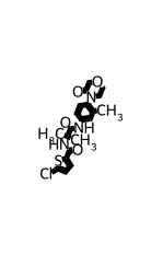 Cc1cc(NC(=O)C(C)(C)NC(=O)c2ccc(Cl)s2)ccc1N1CCOCC1=O